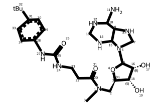 CN(C[C@H]1OC(N2CNC3C(N)NCNC32)[C@H](O)[C@@H]1O)C(=O)CCNC(=O)Nc1ccc(C(C)(C)C)cc1